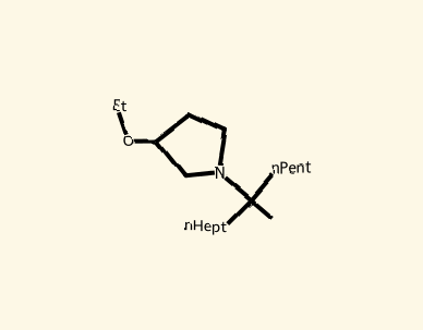 CCCCCCCC(C)(CCCCC)N1CCC(OCC)C1